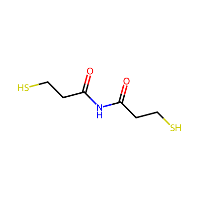 O=C(CCS)NC(=O)CCS